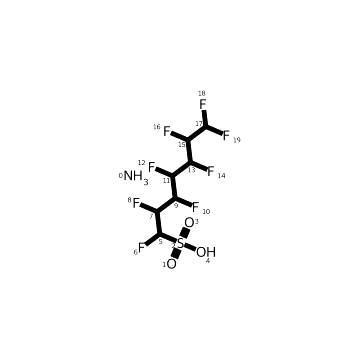 N.O=S(=O)(O)C(F)C(F)C(F)C(F)C(F)C(F)C(F)F